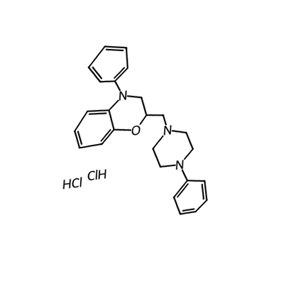 Cl.Cl.c1ccc(N2CCN(CC3CN(c4ccccc4)c4ccccc4O3)CC2)cc1